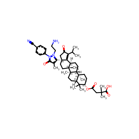 Cc1c([C@@]23CC[C@]4(C)[C@H](CC[C@@H]5[C@@]6(C)CC[C@H](OC(=O)CC(C)(C)C(=O)O)C(C)(C)[C@@H]6CC[C@]54C)C2=C(C(C)C)C(=O)C3)n(CCN)n(-c2ccc(C#N)cc2)c1=O